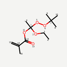 [CH2]C(OCC)(OOC(C)(C)C)OC(=O)C(=C)C